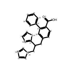 O=C(O)c1ccc(CC(Cn2ccnc2)c2nccs2)cc1-c1ccccc1